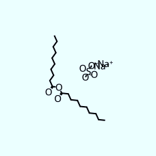 CCCCCCCCCC(=O)OC(=O)CCCCCCCCC.O=S(=O)([O-])[O-].[Na+].[Na+]